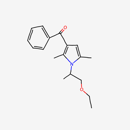 CCOCC(C)n1c(C)cc(C(=O)c2ccccc2)c1C